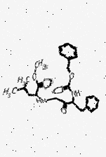 COC(=O)C(CC(C)C)NCC(=O)C(Cc1ccccc1)NC(=O)OCc1ccccc1